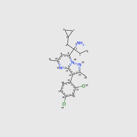 CCC(N)(CC1CC1)c1cc(C)nc2c(-c3ccc(Cl)cc3Cl)c(C)nn12